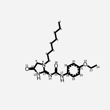 CCCCCCCCN1CC(=O)NC1=NC(=O)Nc1ccc(OCC)cc1